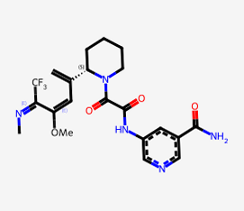 C=C(/C=C(OC)\C(=N/C)C(F)(F)F)[C@@H]1CCCCN1C(=O)C(=O)Nc1cncc(C(N)=O)c1